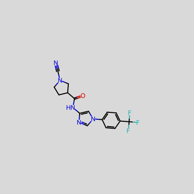 N#CN1CCC(C(=O)Nc2cn(-c3ccc(C(F)(F)F)cc3)cn2)C1